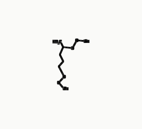 CC(C)(C)OOCCCC(OOC(C)(C)C)C(=O)O